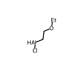 CCOC[CH2][AlH][Cl]